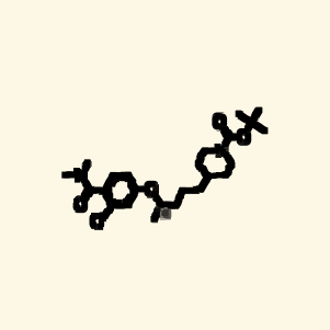 C[C@H](CCCC1CCN(C(=O)OC(C)(C)C)CC1)Oc1ccc(C(=O)N(C)C)c(Cl)c1